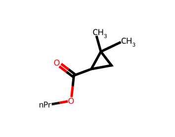 CCCOC(=O)C1CC1(C)C